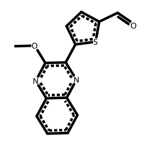 COc1nc2ccccc2nc1-c1ccc(C=O)s1